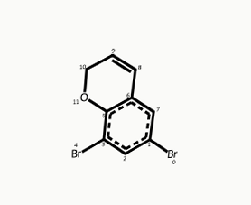 Brc1cc(Br)c2c(c1)C=CCO2